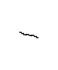 CCCCCC#C/C=C/C#CCCCCC